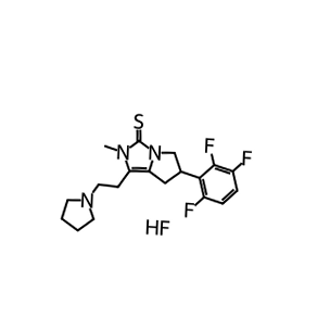 Cn1c(CCN2CCCC2)c2n(c1=S)CC(c1c(F)ccc(F)c1F)C2.F